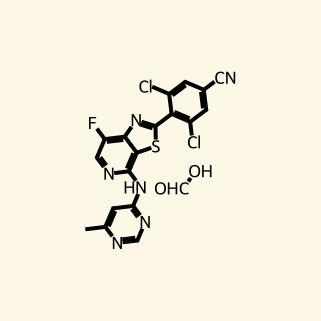 Cc1cc(Nc2ncc(F)c3nc(-c4c(Cl)cc(C#N)cc4Cl)sc23)ncn1.O=CO